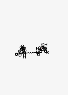 O=C(CNC(=O)C(SCCC(=O)ON1C(=O)CCC1=O)c1ccccc1)NCCCCCCCCCCNC(=O)c1ccc(-c2c3ccc(=O)cc-3oc3cc(O)ccc23)c(C(=O)O)c1